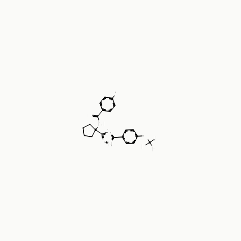 O=C(NC1(c2nc(-c3ccc(OC(F)(F)F)cc3)no2)CCCC1)c1ccc(Cl)cc1